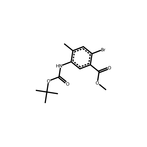 COC(=O)c1cc(NC(=O)OC(C)(C)C)c(C)cc1Br